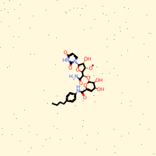 CCCCc1ccc(NC(=O)C2=C[C@H](O)[C@H](O)[C@@H](O[C@@H](C(N)=O)[C@H]3O[C@@H](n4ccc(=O)[nH]c4=O)[C@H](O)[C@@H]3OC)O2)cc1